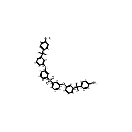 CC(C)(c1ccc(N)cc1)c1cccc(Oc2cccc(S(=O)(=O)c3cccc(Oc4cccc(C(C)(C)c5ccc(N)cc5)c4)c3)c2)c1